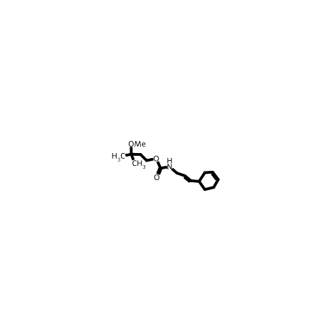 COC(C)(C)CCOC(=O)NC/C=C/C1CC=CCC1